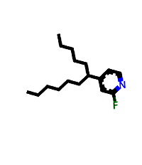 CCCCCCC(CCCCC)c1ccnc(F)c1